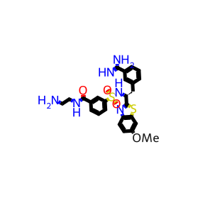 COc1ccc2nc([C@@H](Cc3cccc(C(=N)N)c3)NS(=O)(=O)c3cccc(C(=O)NCCN)c3)sc2c1